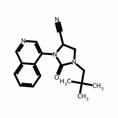 CC(C)(C)CN1CC(C#N)N(c2cncc3ccccc23)C1=O